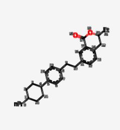 CCCC1CCC(c2ccc(CCc3ccc4c(c3)C(=O)OC(CC)C4)cc2)CC1